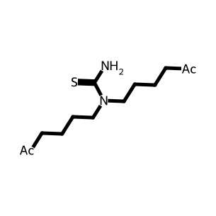 CC(=O)CCCCN(CCCCC(C)=O)C(N)=S